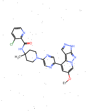 CCOc1cc(-c2cnc(N3CCC(C)(NC(=O)c4ncccc4Cl)CC3)cn2)c2c3cn[nH]c3nn2c1